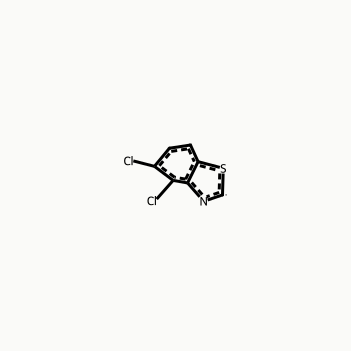 Clc1ccc2s[c]nc2c1Cl